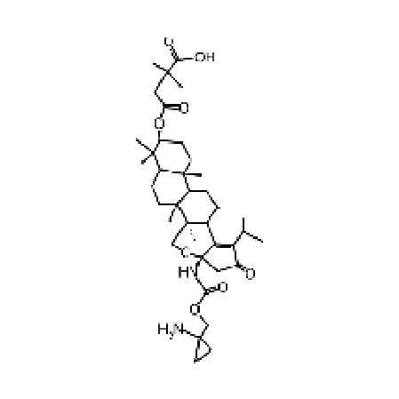 CC(C)C1=C2C3CCC4[C@@]5(C)CC[C@H](OC(=O)CC(C)(C)C(=O)O)C(C)(C)C5CC[C@@]4(C)[C@]3(C)CC[C@@]2(NC(=O)OCC2(N)CC2)CC1=O